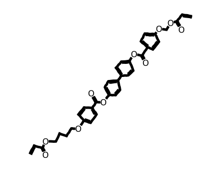 C=CC(=O)OCCCCOc1ccc(C(=O)Oc2ccc(-c3ccc(OC(=O)c4ccc(OCOC(=O)C=C)cc4)cc3)cc2)cc1